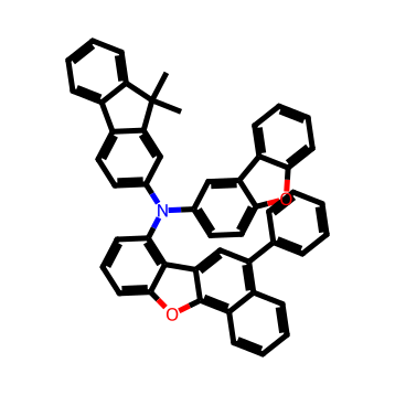 CC1(C)c2ccccc2-c2ccc(N(c3ccc4oc5ccccc5c4c3)c3cccc4oc5c6ccccc6c(-c6ccccc6)cc5c34)cc21